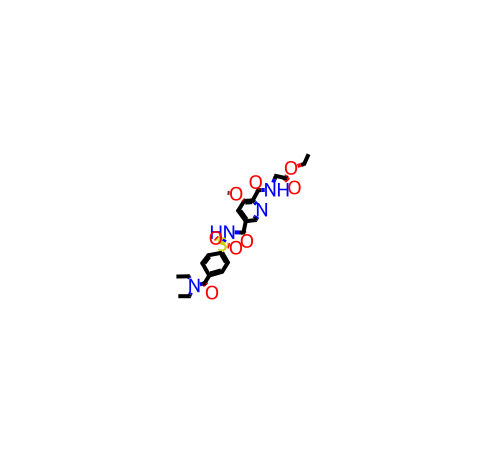 CCOC(=O)CNC(=O)c1ncc(C(=O)NS(=O)(=O)c2ccc(C(=O)N(CC)CC)cc2)cc1OC